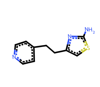 Nc1nc(CCc2ccncc2)cs1